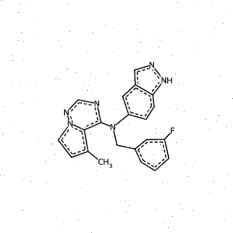 Cc1ccn2ncnc(N(Cc3cccc(F)c3)c3ccc4[nH]ncc4c3)c12